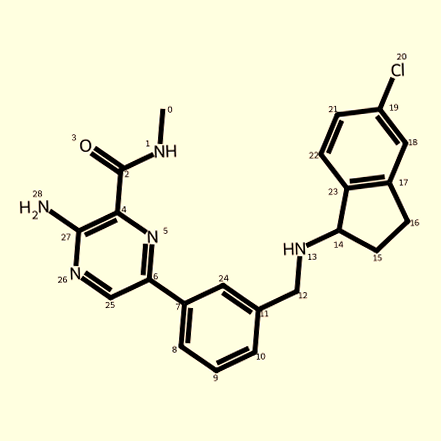 CNC(=O)c1nc(-c2cccc(CNC3CCc4cc(Cl)ccc43)c2)cnc1N